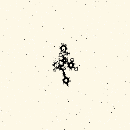 Cc1ccc(C#Cc2ccc(-c3c(CN4CCN(C)CC4)c(C(=O)NN4CCCCC4)nn3-c3ccc(Cl)cc3Cl)s2)cc1